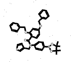 CC1(C)OB(c2ccc(N(Cc3ccsc3)C(=O)c3ccc(OCc4ccccc4)cc3OCc3ccccc3)cc2)OC1(C)C